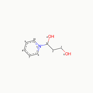 OCCC(O)[n+]1ccccc1